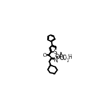 CC(=O)O.O=C(C(CC1CCCCC1)=NO)c1cc(-c2ccccc2)cs1